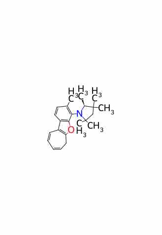 Cc1ccc2c3c(oc2c1N1[C@@H](C)C(C)(C)CC1(C)C)CC=CC=C3